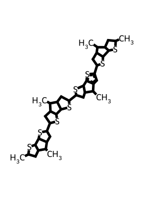 CC1CC2C(C)C3CC(c4cc5c(s4)C4SC(C6CC7C(C)C8CC(C9CC%10C(C)C%11CC(C)SC%11C%10S9)SC8C7S6)CC4C5C)SC3C2S1